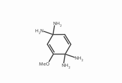 COC1=CC(N)(N)C=CC1(N)N